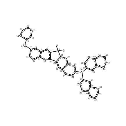 CC1(C)c2cc3cc(Oc4ccccc4)ccc3cc2-c2cc3ccc(N(c4ccc5ccccc5c4)c4ccc5ccccc5c4)cc3cc21